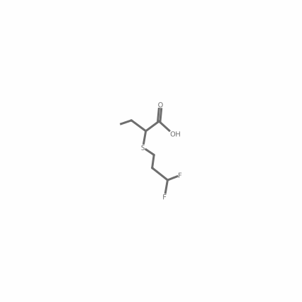 CCC(SCCC(F)F)C(=O)O